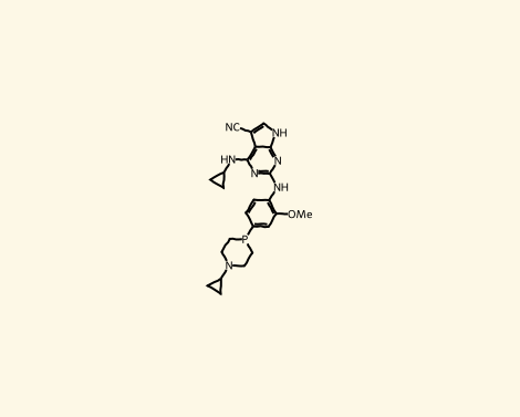 COc1cc(P2CCN(C3CC3)CC2)ccc1Nc1nc(NC2CC2)c2c(C#N)c[nH]c2n1